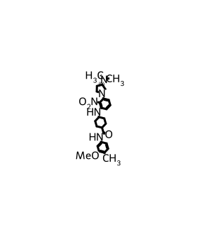 COc1cc(NC(=O)C2CCC(Nc3cccc(N4CC[C@H](N(C)C)C4)c3[N+](=O)[O-])CC2)ccc1C